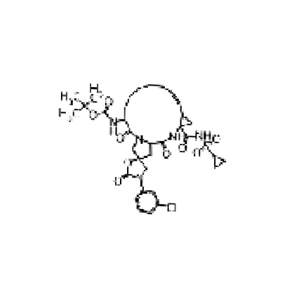 CC(C)(C)OC(=O)NC1CCCCC/C=C\C2CC2(C(=O)NS(=O)(=O)C2CC2)NC(=O)C2CC3(CN(c4cccc(Cl)c4)C(=O)O3)CN2C1=O